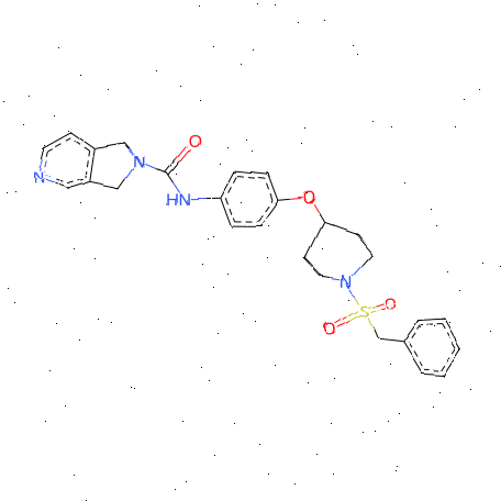 O=C(Nc1ccc(OC2CCN(S(=O)(=O)Cc3ccccc3)CC2)cc1)N1Cc2ccncc2C1